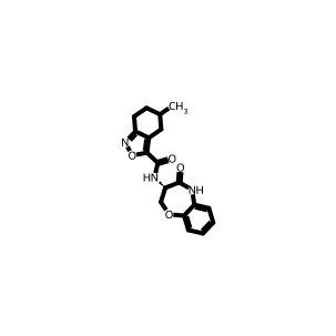 CC1CCc2noc(C(=O)N[C@H]3COc4ccccc4NC3=O)c2C1